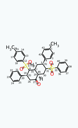 Cc1ccc([C@@H]2C[C@@H]3C(S(=O)(=O)c4ccc(C)cc4)[C@H](c4ccccc4)CC(=O)[C@@H]3CC2S(=O)(=O)c2ccccc2)cc1